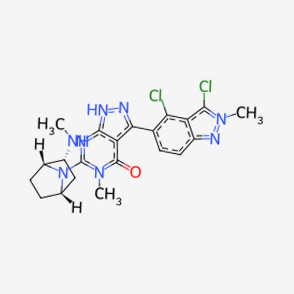 CN[C@@H]1C[C@@H]2CC[C@H]1N2c1nc2[nH]nc(-c3ccc4nn(C)c(Cl)c4c3Cl)c2c(=O)n1C